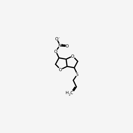 C=CCSC1COC2C(O[N+](=O)[O-])COC12